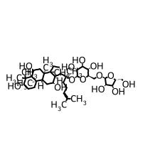 CC(C)=CCC[C@](C)(O[C@@H]1O[C@H](CO[C@H]2O[C@H](CO)[C@@H](O)[C@@H]2O)[C@@H](O)[C@H](O)[C@H]1O)[C@H]1CC[C@]2(C)[C@@H]1[C@H](O)C[C@@H]1[C@@]3(C)CC[C@H](O)C(C)(C)[C@@H]3[C@@H](O)C[C@]12C